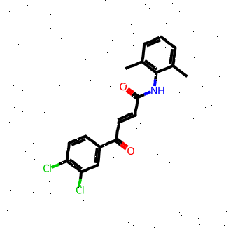 Cc1cccc(C)c1NC(=O)C=CC(=O)c1ccc(Cl)c(Cl)c1